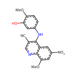 COc1ccc(Nc2c(C#N)cnc3c(OC)cc([N+](=O)[O-])cc23)cc1O